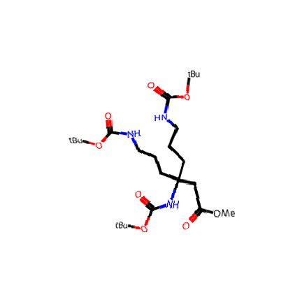 COC(=O)CC(CCCNC(=O)OC(C)(C)C)(CCCNC(=O)OC(C)(C)C)NC(=O)OC(C)(C)C